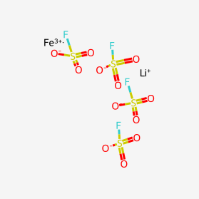 O=S(=O)([O-])F.O=S(=O)([O-])F.O=S(=O)([O-])F.O=S(=O)([O-])F.[Fe+3].[Li+]